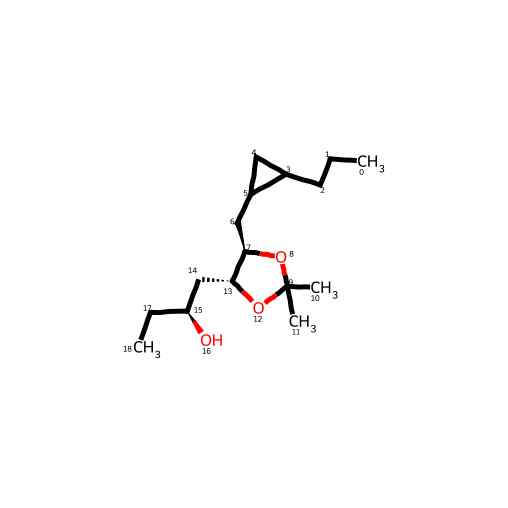 CCCC1CC1C[C@H]1OC(C)(C)O[C@@H]1C[C@@H](O)CC